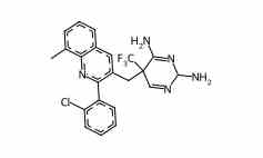 Cc1cccc2cc(CC3(C(F)(F)F)C=NC(N)N=C3N)c(-c3ccccc3Cl)nc12